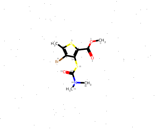 COC(=O)c1sc(C)c(Br)c1SC(=O)N(C)C